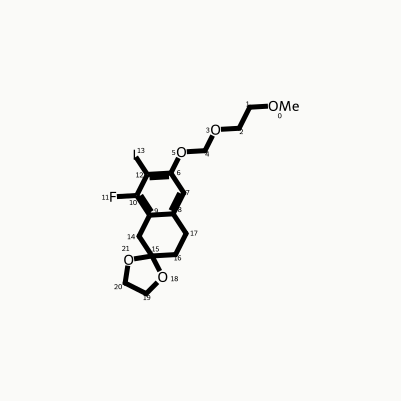 COCCOCOc1cc2c(c(F)c1I)CC1(CC2)OCCO1